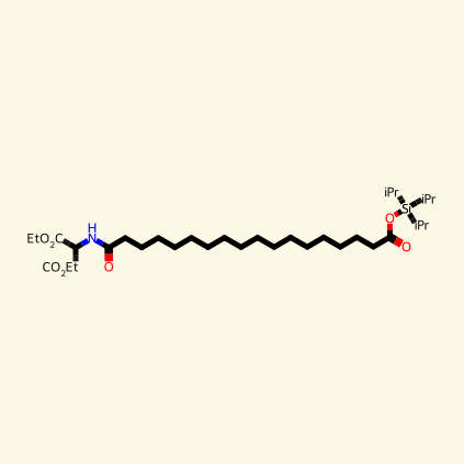 CCOC(=O)C(NC(=O)CCCCCCCCCCCCCCCCC(=O)O[Si](C(C)C)(C(C)C)C(C)C)C(=O)OCC